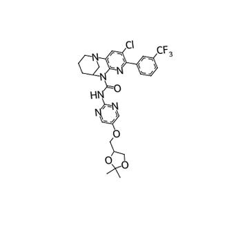 CC1(C)OCC(COc2cnc(NC(=O)N3c4nc(-c5cccc(C(F)(F)F)c5)c(Cl)cc4N4CCCC3C4)nc2)O1